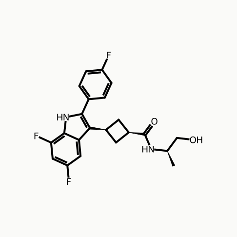 C[C@H](CO)NC(=O)[C@H]1C[C@@H](c2c(-c3ccc(F)cc3)[nH]c3c(F)cc(F)cc32)C1